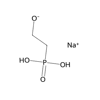 O=P(O)(O)CC[O-].[Na+]